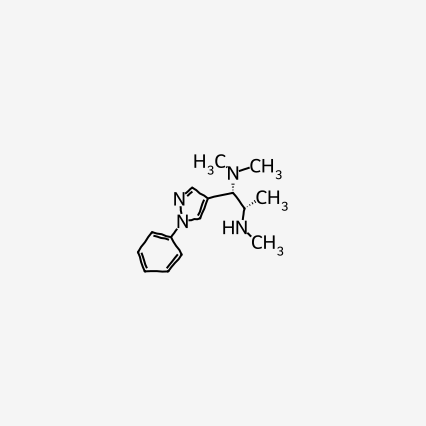 CN[C@@H](C)[C@H](c1cnn(-c2ccccc2)c1)N(C)C